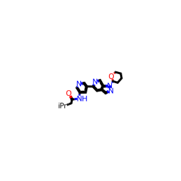 CC(C)CC(=O)Nc1cncc(-c2cc3cnn(C4CCCCO4)c3cn2)c1